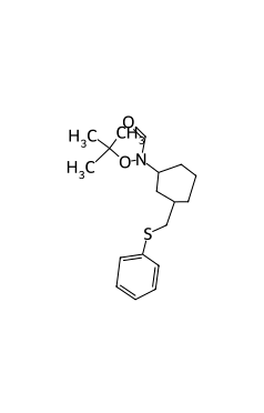 CC(C)(C)ON(C=O)C1CCCC(CSc2ccccc2)C1